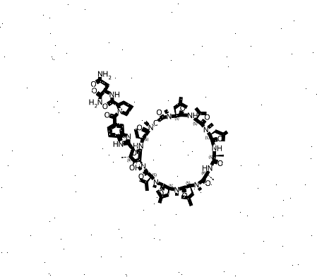 CC[C@@H]1NC(=O)[C@H]([C@H](O)[C@H](C)Cc2nc3cc(C(=O)N4CCCC4C(=O)NC(CC(N)=O)C(N)=O)ccc3[nH]2)N(C)C(=O)[C@H](C(C)C)N(C)C(=O)[C@H](CC(C)C)N(C)C(=O)[C@H](CC(C)C)N(C)C(=O)[C@@H](C)NC(=O)[C@H](C)NC(=O)[C@H](CC(C)C)N(C)C(=O)[C@H](C(C)C)NC(=O)[C@H](CC(C)C)N(C)C(=O)CN(C)C1=O